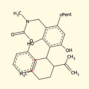 C=C(C)C1CCC(C)=CC1c1c(O)cc(CCCCC)c(CN(C)C(=O)Oc2ccccc2)c1O